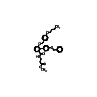 CCCCOc1ccc(COc2cccc(C(=O)NCCC(=O)OC)c2-c2ccc(OCc3ccccc3)cc2)cc1